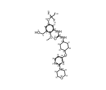 COc1c(CO)cc(OC(F)(F)F)cc1NC(=O)NC1CCC(Oc2ccnc(N3CCOCC3)n2)CC1